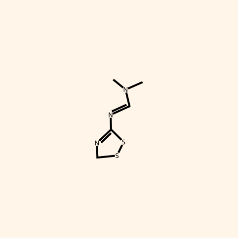 CN(C)C=NC1=NCSS1